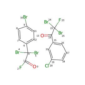 O=C(F)C(Br)(Br)c1ccc(Br)cc1.O=C(c1cccc(Cl)c1)C(F)(Br)Br